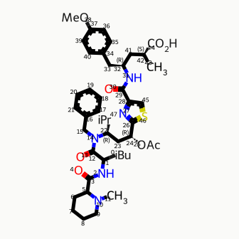 CCC(C)C(NC(=O)C1CCCCN1C)C(=O)N(Cc1ccccc1)[C@H](C[C@@H](OC(C)=O)c1nc(C(=O)N[C@@H](Cc2ccc(OC)cc2)C[C@H](C)C(=O)O)cs1)C(C)C